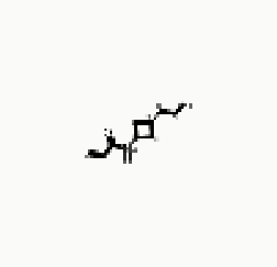 C=CC(=O)N[C@H]1C[C@@H](CCC)C1